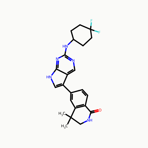 CC1(C)CNC(=O)c2ccc(-c3c[nH]c4nc(NC5CCC(F)(F)CC5)ncc34)cc21